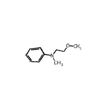 COCCN(C)c1c[c]ccc1